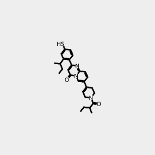 CCC(C)C(=O)N1CC=C(c2ccc3nc(-c4ccc(S)cc4C(C)CC)cc(=O)n3c2)CC1